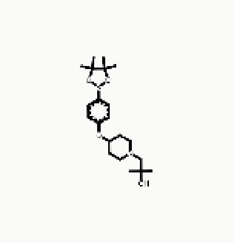 CC(C)(O)CN1CCC(Oc2ccc(B3OC(C)(C)C(C)(C)O3)cc2)CC1